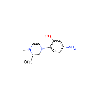 CN1C=CN(c2ccc(N)cc2O)CC1C=O